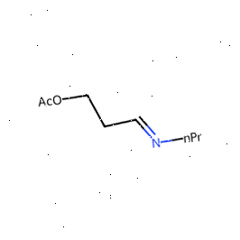 CCCN=CCCOC(C)=O